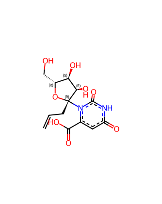 C=CC[C@@]1(n2c(C(=O)O)cc(=O)[nH]c2=O)O[C@H](CO)[C@@H](O)[C@H]1O